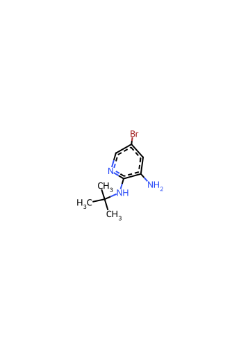 CC(C)(C)Nc1ncc(Br)cc1N